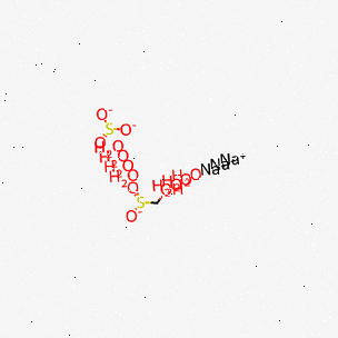 O.O.O.O.O.O.O.O=S([O-])CO.O=S([O-])[O-].[Na+].[Na+].[Na+]